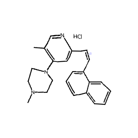 Cc1cnc(/C=C\c2cccc3ccccc23)cc1N1CCN(C)CC1.Cl